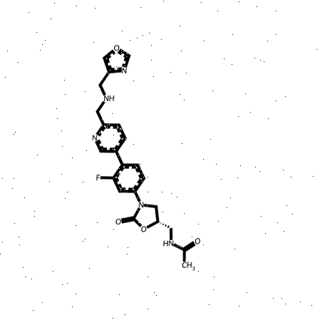 CC(=O)NC[C@H]1CN(c2ccc(-c3ccc(CNCc4cocn4)nc3)c(F)c2)C(=O)O1